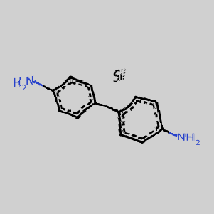 Nc1ccc(-c2ccc(N)cc2)cc1.[Si]